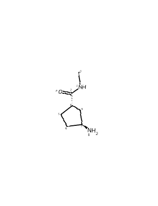 CNC(=O)[C@H]1CC[C@H](N)C1